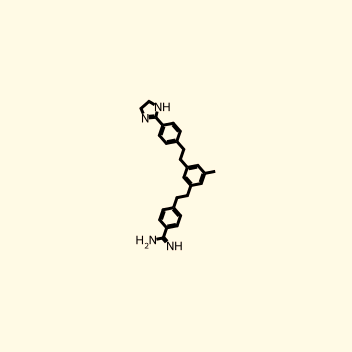 Cc1cc(CCc2ccc(C(=N)N)cc2)cc(CCc2ccc(C3=NCCN3)cc2)c1